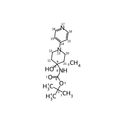 C.CC(C)(C)OC(=O)NC1(O)CCN(c2ccncc2)CC1